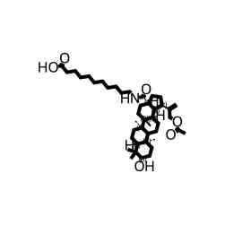 C=C(COC(C)=O)[C@@H]1CC[C@]2(C(=O)NCCCCCCCCCCC(=O)O)CC[C@]3(C)[C@H](CCC4[C@@]5(C)CC[C@H](O)C(C)(C)[C@@H]5CC[C@]43C)[C@@H]12